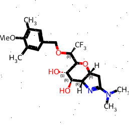 COc1c(C)cc(CO[C@H](C2O[C@@H]3CC(N(C)C)=N[C@@H]3[C@@H](O)[C@@H]2O)C(F)(F)F)cc1C